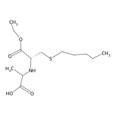 CCCCCSC[C@H](NC(C)C(=O)O)C(=O)OCC